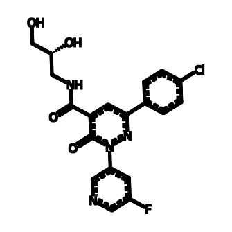 O=C(NC[C@@H](O)CO)c1cc(-c2ccc(Cl)cc2)nn(-c2cncc(F)c2)c1=O